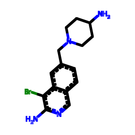 Nc1ncc2ccc(CN3CCC(N)CC3)cc2c1Br